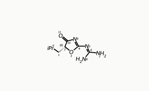 CC(C)C[C@H]1OC(N=C(N)N)=NC1=O